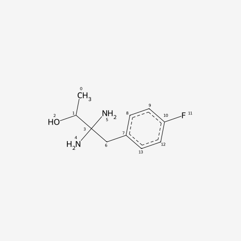 CC(O)C(N)(N)Cc1ccc(F)cc1